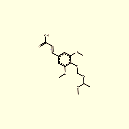 COc1cc(/C=C/C(=O)O)cc(OC)c1OCOC(C)OC